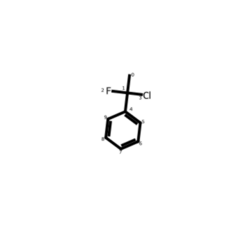 CC(F)(Cl)c1ccccc1